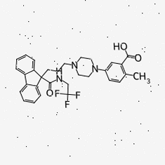 Cc1ccc(N2CCN(CCCC3(C(=O)NCC(F)(F)F)c4ccccc4-c4ccccc43)CC2)cc1C(=O)O